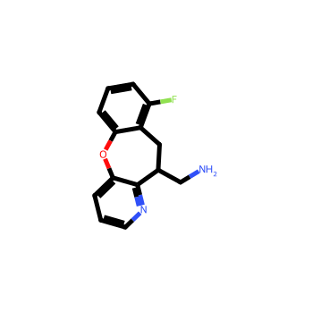 NCC1Cc2c(F)cccc2Oc2cccnc21